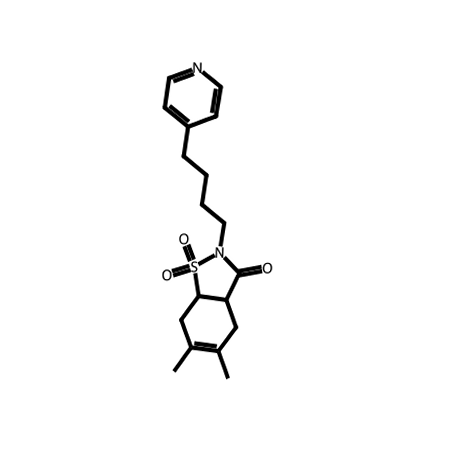 CC1=C(C)CC2C(C1)C(=O)N(CCCCc1ccncc1)S2(=O)=O